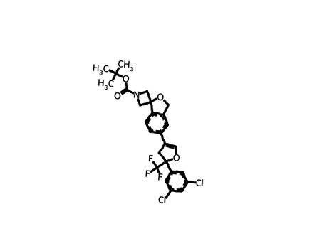 CC(C)(C)OC(=O)N1CC2(C1)OCc1cc(C3=COC(c4cc(Cl)cc(Cl)c4)(C(F)(F)F)C3)ccc12